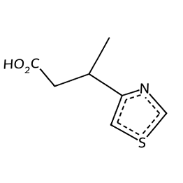 CC(CC(=O)O)c1cscn1